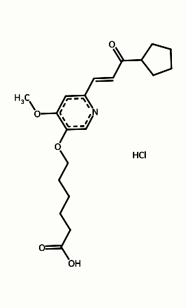 COc1cc(/C=C/C(=O)C2CCCC2)ncc1OCCCCCC(=O)O.Cl